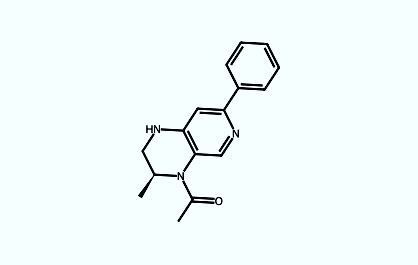 CC(=O)N1c2cnc(-c3ccccc3)cc2NC[C@@H]1C